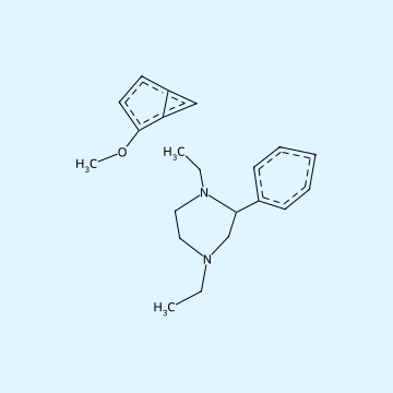 CCN1CCN(CC)C(c2ccccc2)C1.COc1ccc2cc1-2